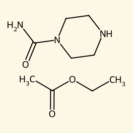 CCOC(C)=O.NC(=O)N1CCNCC1